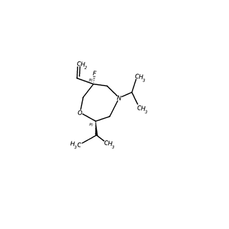 C=C[C@]1(F)CO[C@H](C(C)C)CN(C(C)C)C1